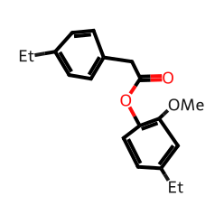 CCc1ccc(CC(=O)Oc2ccc(CC)cc2OC)cc1